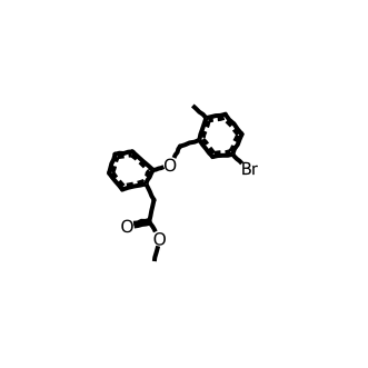 COC(=O)Cc1ccccc1OCc1cc(Br)ccc1C